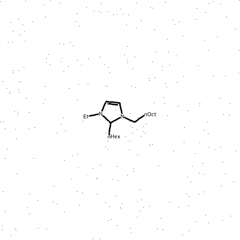 CCCCCCCCCN1C=CN(CC)C1CCCCCC